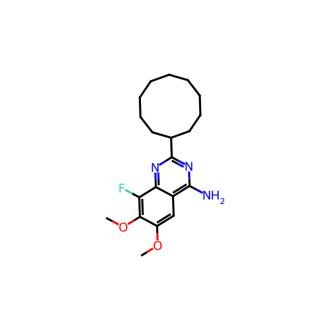 COc1cc2c(N)nc(C3CCCCCCCCC3)nc2c(F)c1OC